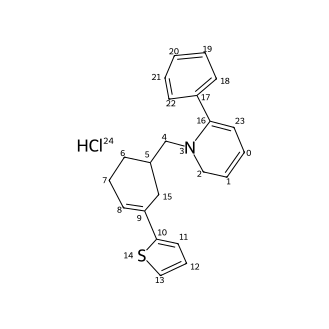 C1=CCN(CC2CCC=C(c3cccs3)C2)C(c2ccccc2)=C1.Cl